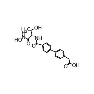 C[C@@H](O)[C@H](NC(=O)c1ccc(-c2ccc(CC(=O)O)cc2)cc1)C(=O)NO